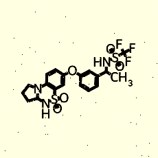 CC(NS(=O)(=O)C(F)(F)F)c1cccc(Oc2ccc3c(c2)S(=O)(=O)NC2CCCN32)c1